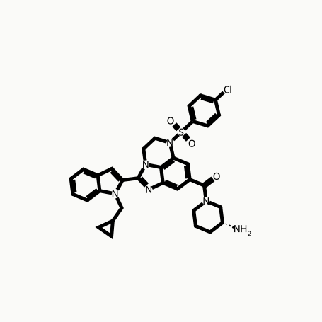 N[C@@H]1CCCN(C(=O)c2cc3c4c(c2)nc(-c2cc5ccccc5n2CC2CC2)n4CCN3S(=O)(=O)c2ccc(Cl)cc2)C1